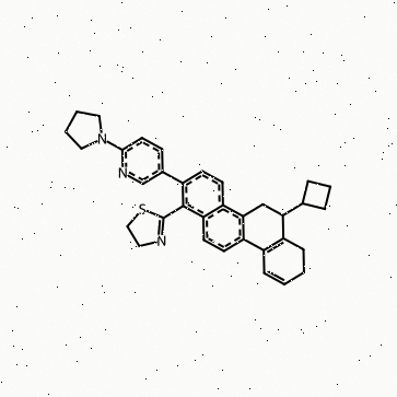 C1=CC2=C(CC1)C(C1CCC1)Cc1c2ccc2c(C3=NCCS3)c(-c3ccc(N4CCCC4)nc3)ccc12